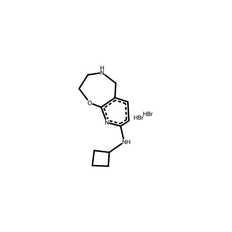 Br.Br.c1cc2c(nc1NC1CCC1)OCCNC2